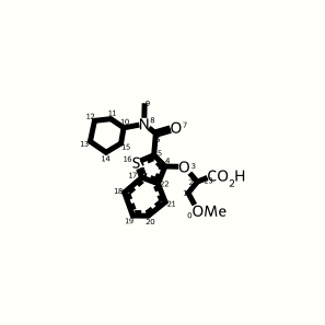 COCC(Oc1c(C(=O)N(C)C2CCCCC2)sc2ccccc12)C(=O)O